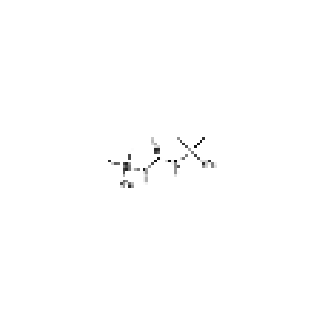 CC(C)(C)[Si](C)(C)NC(=O)N[Si](C)(C)C(C)(C)C